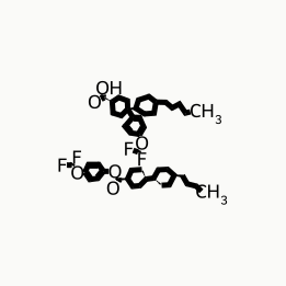 CCCCCC1CCC([C@]2(c3ccc(OC(F)F)cc3)CC[C@@H](C(=O)O)CC2)CC1.CCCC[C@H]1CC[C@H]([C@H]2CC[C@H](C(=O)Oc3ccc(OC(F)F)cc3)CC2)CC1